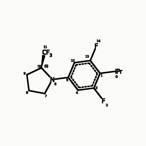 CC(C)c1c(F)cc(N2CCC[C@H]2C(F)(F)F)cc1F